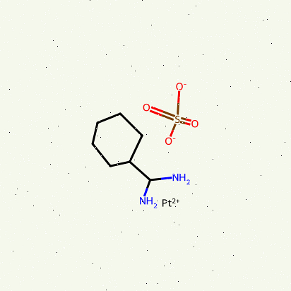 NC(N)C1CCCCC1.O=S(=O)([O-])[O-].[Pt+2]